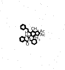 CC(=O)C1(C(C)=O)Cc2c(C)c(CCc3ccccc3)c(B3Nc4ccccc4C(=O)N3C3CCCCC3)c(C)c2C1